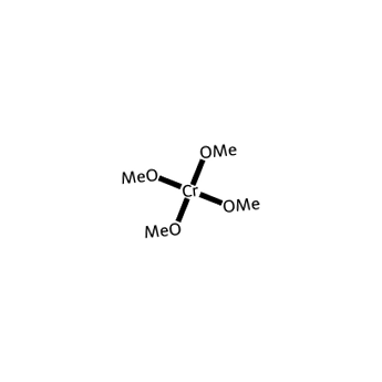 C[O][Cr]([O]C)([O]C)[O]C